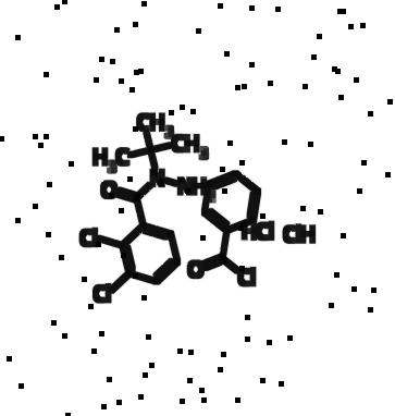 CC(C)(C)N(N)C(=O)c1cccc(Cl)c1Cl.Cl.Cl.O=C(Cl)c1ccccc1